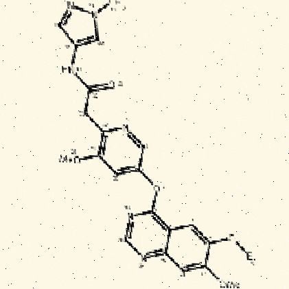 CCOc1cc2c(Oc3cnc(CC(=O)Nc4cnn(C)c4)c(OC)c3)ncnc2cc1OC